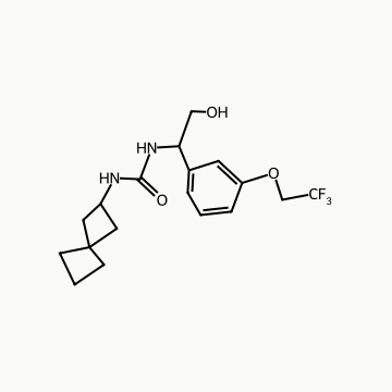 O=C(NC1CC2(CCC2)C1)NC(CO)c1cccc(OCC(F)(F)F)c1